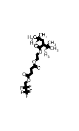 CC(C)(C)CC(C(=O)OCCOC(=O)CCC(=O)OCC(F)(F)C(F)(F)F)C(C)(C)C